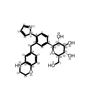 OC[C@H]1O[C@@H](c2ccc(-n3cccn3)c(Cc3ccc4c(c3)NCCO4)c2)[C@H](O)[C@@H](O)[C@@H]1O